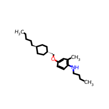 CCCCC[C@H]1CC[C@H](COc2ccc(NCCCC)c(C)c2)CC1